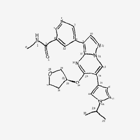 CNC(=O)c1cncc(-c2cnn3cc(-c4cnn(C(C)C)c4)c(O[C@H]4CCOC4)nc23)c1